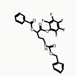 O=C(NCCC(OC(=O)c1ccccc1)C(=O)Oc1c(F)c(F)c(F)c(F)c1F)OCc1ccccc1